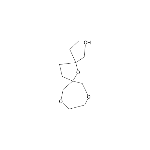 CCC1(CO)CCC2(COCCOC2)O1